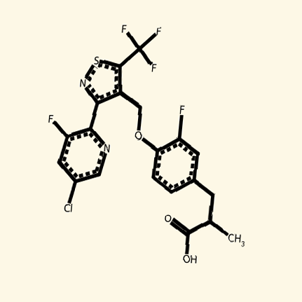 CC(Cc1ccc(OCc2c(-c3ncc(Cl)cc3F)nsc2C(F)(F)F)c(F)c1)C(=O)O